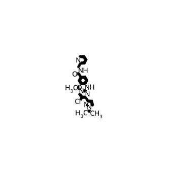 COc1cc(C(=O)NCc2ccccn2)ccc1Nc1ncc(Cl)c(-c2ccn(C(C)C)n2)n1